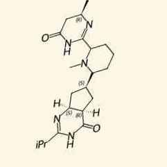 CC(C)C1=N[C@H]2C[C@@H](C3CCCC(C4=N[C@H](C)CC(=O)N4)N3C)C[C@H]2C(=O)N1